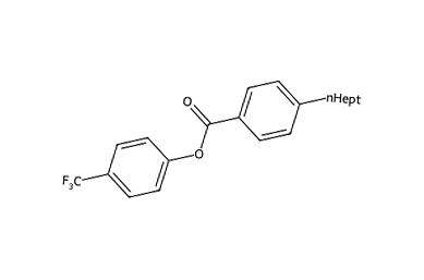 CCCCCCCc1ccc(C(=O)Oc2ccc(C(F)(F)F)cc2)cc1